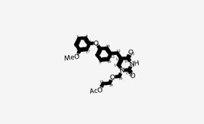 COc1cccc(Oc2cccc(Cc3cn(COCCOC(C)=O)c(=O)[nH]c3=O)c2)c1